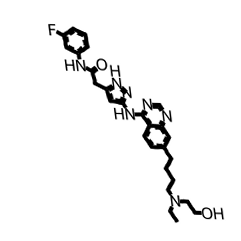 CCN(CCO)CCCCc1ccc2c(Nc3cc(CC(=O)Nc4cccc(F)c4)[nH]n3)ncnc2c1